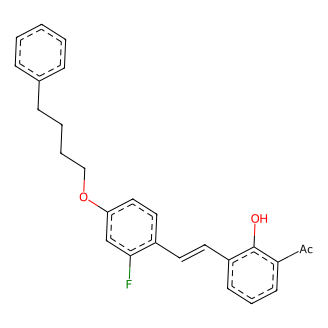 CC(=O)c1cccc(/C=C/c2ccc(OCCCCc3ccccc3)cc2F)c1O